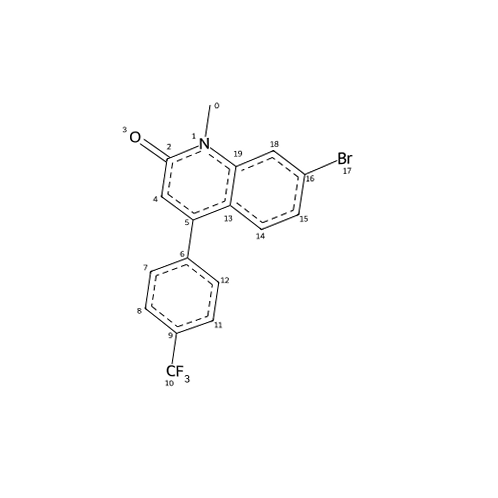 Cn1c(=O)cc(-c2ccc(C(F)(F)F)cc2)c2ccc(Br)cc21